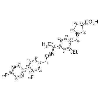 CCc1cc(C(C)=NOCc2ccc(-c3cnc(F)cn3)c(F)c2)ccc1CN1CCC(C(=O)O)C1